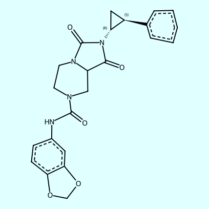 O=C(Nc1ccc2c(c1)OCO2)N1CCN2C(=O)N([C@@H]3C[C@H]3c3ccccc3)C(=O)C2C1